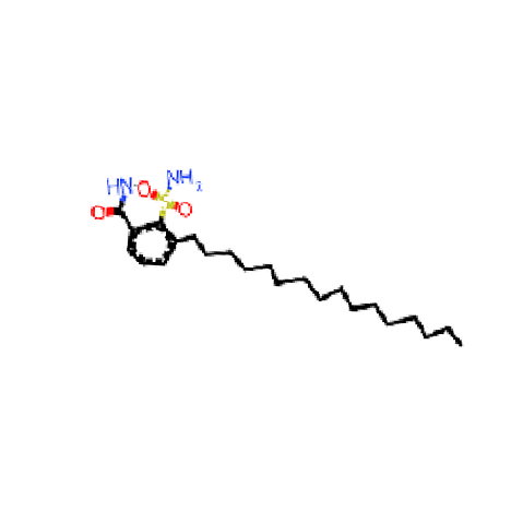 CCCCCCCCCCCCCCCCc1cccc(C([NH])=O)c1S(N)(=O)=O